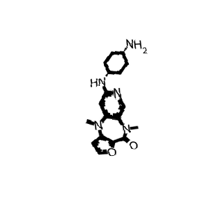 CN1C(=O)c2occc2N(C)c2cc(N[C@H]3CC[C@@H](N)CC3)ncc21